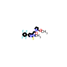 COC[C@@H]1CCCN1C(=O)Cc1c2n(c(=S)n1C)C[C@@H](c1c(F)c(F)cc(F)c1F)C2